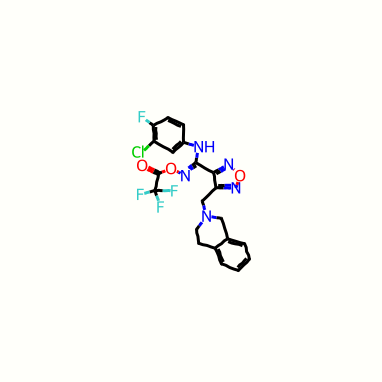 O=C(ON=C(Nc1ccc(F)c(Cl)c1)c1nonc1CN1CCc2ccccc2C1)C(F)(F)F